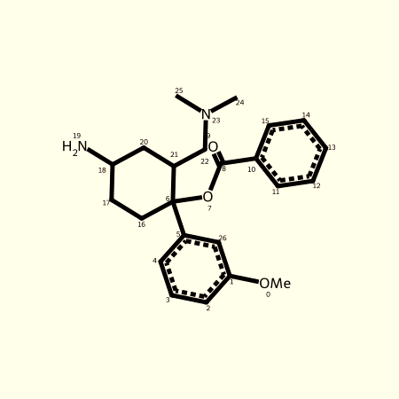 COc1cccc(C2(OC(=O)c3ccccc3)CCC(N)CC2CN(C)C)c1